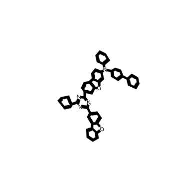 c1ccc(-c2ccc(N(c3ccccc3)c3ccc4c(c3)oc3cc(-c5nc(-c6ccccc6)nc(-c6ccc7oc8ccccc8c7c6)n5)ccc34)cc2)cc1